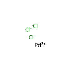 [Cl-].[Cl-].[Cl].[Pd+2]